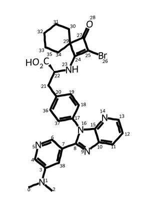 CN(C)c1cncc(-c2nc3cccnc3n2-c2ccc(C[C@H](NC3=C(Br)C(=O)C34CCCCC4)C(=O)O)cc2)c1